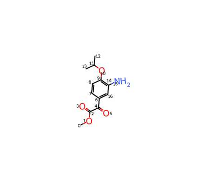 COC(=O)C(=O)c1ccc(OC(C)C)c(N)c1